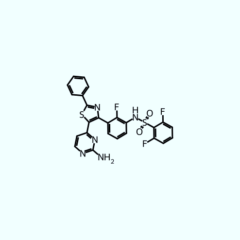 Nc1nccc(-c2sc(-c3ccccc3)nc2-c2cccc(NS(=O)(=O)c3c(F)cccc3F)c2F)n1